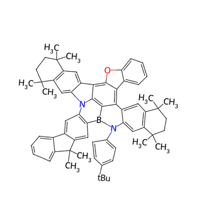 CC(C)(C)c1ccc(N2B3c4cc5c(cc4-n4c6cc7c(cc6c6c8oc9ccccc9c8c(c3c64)-c3cc4c(cc32)C(C)(C)CCC4(C)C)C(C)(C)CCC7(C)C)-c2ccccc2C5(C)C)cc1